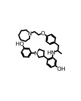 CC(Cc1ccc(OCCN2CCCCCC2)cc1)Nc1cc(O)ccc1C1CCN(c2cccc(O)c2)C1